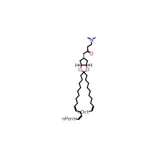 CCCCC/C=C\C/C=C\CCCCCCCCC1(CCCCCCCC/C=C\CCCCCCCC)O[C@H]2C[C@H](CC(=O)CCN(C)C)C[C@H]2O1